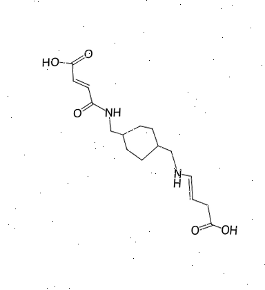 O=C(O)C=CC(=O)NCC1CCC(CNC=CCC(=O)O)CC1